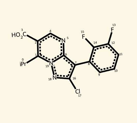 CC(C)c1c(C(=O)O)cnc2c(-c3cccc(F)c3F)c(Cl)nn12